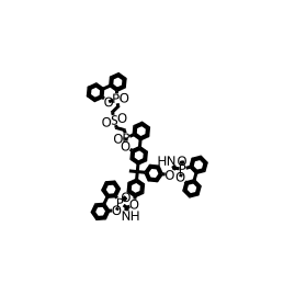 CC(c1ccc(OC(=N)P2(=O)Oc3ccccc3-c3ccccc32)cc1)(c1ccc(OC(=N)P2(=O)Oc3ccccc3-c3ccccc32)cc1)c1ccc2c(c1)OP(=O)(CCS(=O)(=O)CCP1(=O)Oc3ccccc3-c3ccccc31)c1ccccc1-2